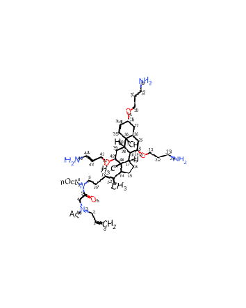 C=CCN(CC(=O)N(CCCCCCCC)CCCC(C)C1CC[C@H]2C3[C@H](OCCCN)CC4C[C@H](OCCCN)CCC4(C)[C@H]3C[C@H](OCCCN)C12C)C(C)=O